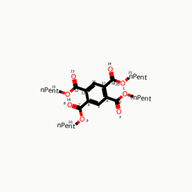 CCCCCOC(=O)c1cc(C(=O)OCCCCC)c(C(=O)OCCCCC)cc1C(=O)OCCCCC